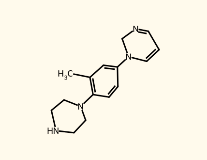 Cc1cc(N2C=CC=NC2)ccc1N1CCNCC1